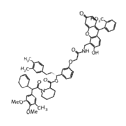 COc1cc(C(C(=O)N2CCCCC2C(=O)O[C@H](CCc2ccc(C)c(C)c2)c2cccc(OCC(=O)NCc3c(O)ccc4c(-c5ccccc5C(=O)O)c5ccc(=O)cc-5oc34)c2)C2C=CCCC2)cc(C)c1OC